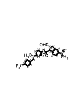 CN(Cc1ccc(C(F)(F)F)cc1)c1ncc(NC(=O)C2c3ccc([S+](C)[O-])cc3CN2C=O)cn1